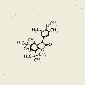 Cc1cc(C2C(=O)Oc3c2cc(C(C)(C)C)cc3C(C)(C)C)cc(C)c1OP